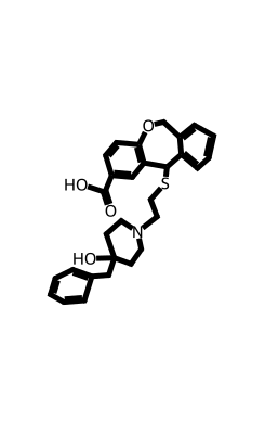 O=C(O)c1ccc2c(c1)C(SCCN1CCC(O)(Cc3ccccc3)CC1)c1ccccc1CO2